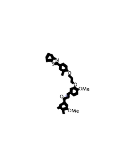 COc1ccc(/C=C/C(=O)c2cc(C)c(C)c(OC)c2)cc1OCCCOc1ccc(-c2nc3ccccc3s2)cc1C